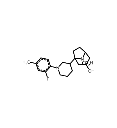 Cc1ccc(N2CCCC(C34CCC(CC(O)C3)N4C(=O)O)C2)c(F)c1